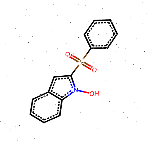 O=S(=O)(c1ccccc1)c1cc2ccccc2n1O